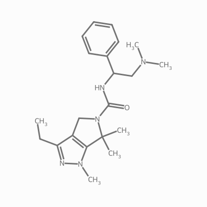 CCc1nn(C)c2c1CN(C(=O)NC(CN(C)C)c1ccccc1)C2(C)C